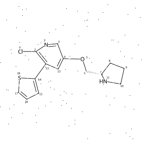 Clc1ncc(OC[C@@H]2CCCN2)cc1-c1cccs1